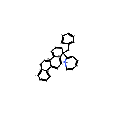 C1=CC=C(C2(Cc3ccccc3)CCC=c3c2ccc2c3=CCc3ccccc3-2)NC=C1